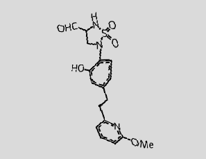 COc1cccc(CCc2ccc(N3CC(C=O)NS3(=O)=O)c(O)c2)n1